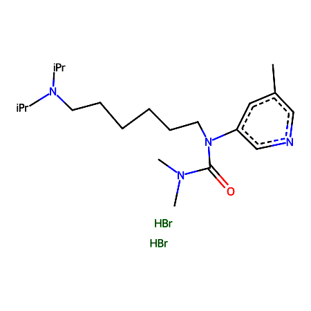 Br.Br.Cc1cncc(N(CCCCCCN(C(C)C)C(C)C)C(=O)N(C)C)c1